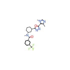 Cc1ncn(C)c1-c1nnc(C2CCCC(N(C)C(=O)c3cccc(C(F)(F)F)c3)C2)o1